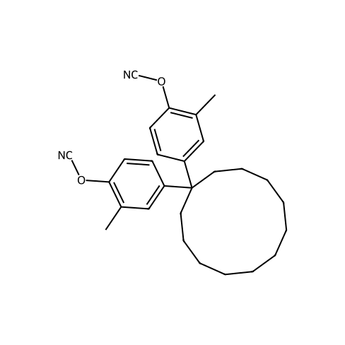 Cc1cc(C2(c3ccc(OC#N)c(C)c3)CCCCCCCCCCC2)ccc1OC#N